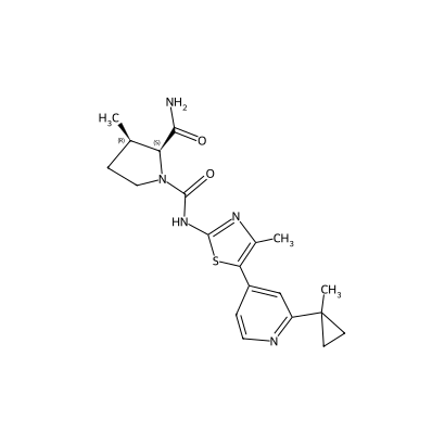 Cc1nc(NC(=O)N2CC[C@@H](C)[C@H]2C(N)=O)sc1-c1ccnc(C2(C)CC2)c1